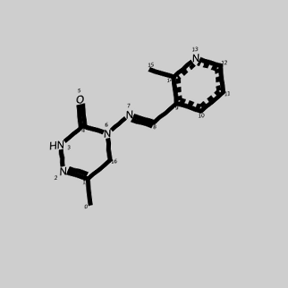 CC1=NNC(=O)N(N=Cc2cccnc2C)C1